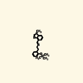 Cn1cnc2c(C=NCCc3ccccc3O[Si](C)(C)C)cccc21